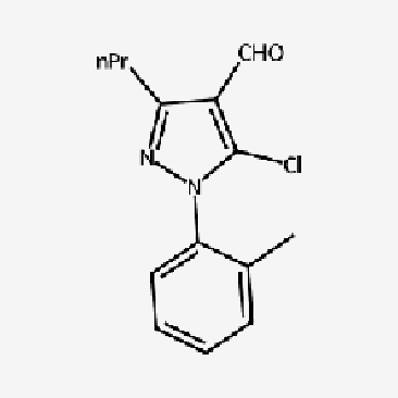 CCCc1nn(-c2ccccc2C)c(Cl)c1C=O